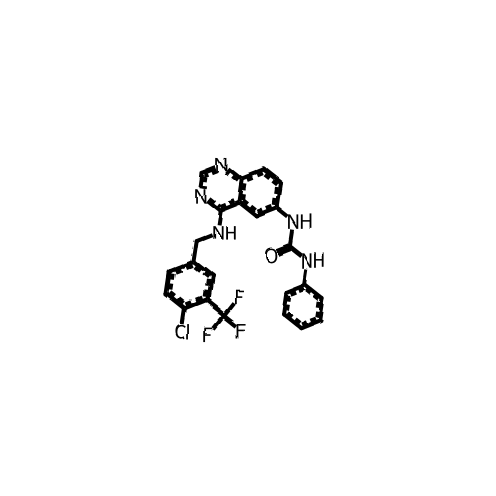 O=C(Nc1ccccc1)Nc1ccc2ncnc(NCc3ccc(Cl)c(C(F)(F)F)c3)c2c1